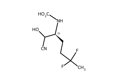 CC(F)(F)CC[C@H](NC(=O)O)C(O)C#N